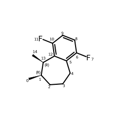 C[C@@H]1CCCc2c(F)ccc(F)c2[C@@H]1C